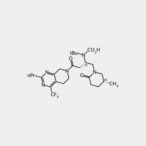 CCCc1nc2c(c(C(F)(F)F)n1)CCN(C(=O)C[C@@H](CN1C[C@H](C)CCC1=O)N(C(=O)O)C(C)(C)C)C2